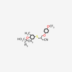 Cc1cc(SCC(CC#N)COc2ccc(OC(F)(F)F)cc2)ccc1OC(C)(C)C(=O)O